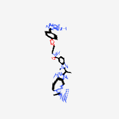 CC(=N)N1CCc2[nH]c(C(C)c3nc4ccc(C(=O)NCCOc5ccc(-c6nnn[nH]6)cc5)cc4n3C)nc2C1